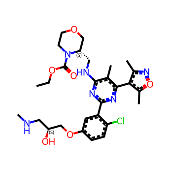 CCOC(=O)N1CCOC[C@@H]1CNc1nc(-c2cc(OC[C@@H](O)CNC)ccc2Cl)nc(-c2c(C)noc2C)c1C